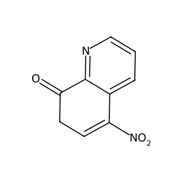 O=C1CC=C([N+](=O)[O-])c2cccnc21